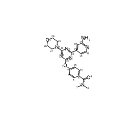 CN(C)C(=O)c1ccc(Oc2nc(-c3ccnc(N)c3)nc(N3CCOCC3)n2)cc1